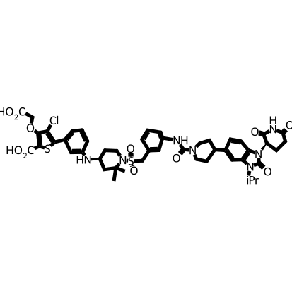 CC(C)n1c(=O)n([C@@H]2CCC(=O)NC2=O)c2ccc(C3CCN(C(=O)Nc4cccc(CS(=O)(=O)N5CC[C@H](Nc6cccc(-c7sc(C(=O)O)c(OCC(=O)O)c7Cl)c6)CC5(C)C)c4)CC3)cc21